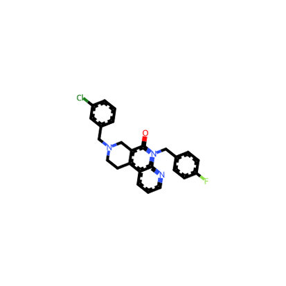 O=c1c2c(c3cccnc3n1Cc1ccc(F)cc1)CCN(Cc1cccc(Cl)c1)C2